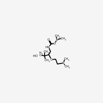 CN(C)CCOC(CNC(=O)ON(C)C)C(C)(C)C.Cl